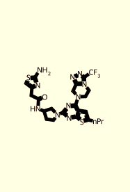 CCCc1cc2c(N3CCn4c(nnc4C(F)(F)F)C3)nc(N3CCC(NC(=O)Cc4csc(N)n4)C3)nc2s1